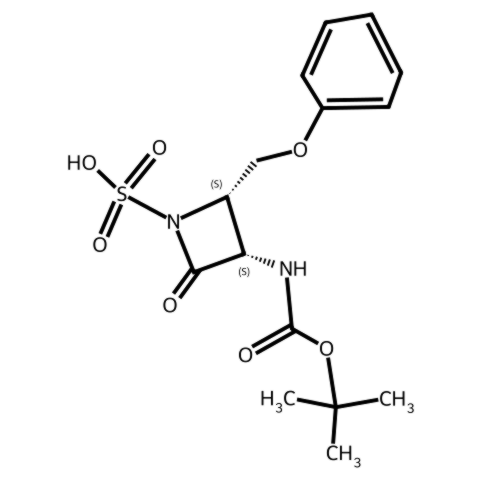 CC(C)(C)OC(=O)N[C@@H]1C(=O)N(S(=O)(=O)O)[C@@H]1COc1ccccc1